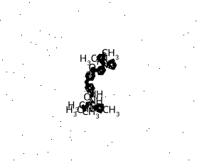 Cc1ccc(-n2nc(C(C)(C)C)cc2NC(=O)Nc2ccc(CC3CCN(C(=O)c4cccc(N(c5ccccc5)c5nc(C)cc(C)n5)c4)CC3)cc2)cc1